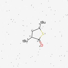 CC(C)(C)C1CC(C(C)(C)C)C(=O)S1